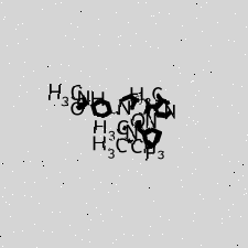 CNC(=O)[C@H]1CC[C@H](CN2CC[C@H](Cc3cn(-c4ccc(F)cc4C(=O)N(C)C(C)C)c4cncc(C)c34)C2)CC1